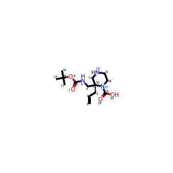 C=CC[C@@]1(CNC(=O)OC(C)(C)C)CNCCN1C(=O)O